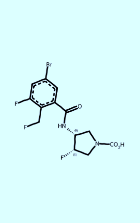 O=C(N[C@@H]1CN(C(=O)O)C[C@@H]1F)c1cc(Br)cc(F)c1CF